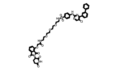 O=C(COc1cccc2c1C(=O)N(C1CCC(=O)NC1=O)C2=O)NCCOCCOCCOCCNS(=O)(=O)c1ccc(Nc2ncc(Cl)c(-c3cccc(-c4ccccc4)c3)n2)cc1